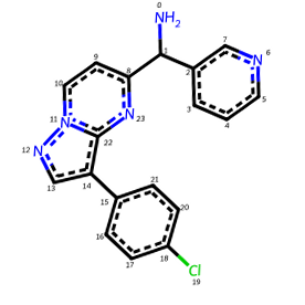 NC(c1cccnc1)c1ccn2ncc(-c3ccc(Cl)cc3)c2n1